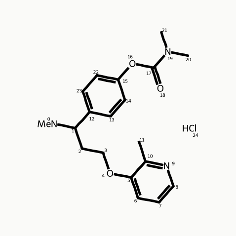 CNC(CCOc1cccnc1C)c1ccc(OC(=O)N(C)C)cc1.Cl